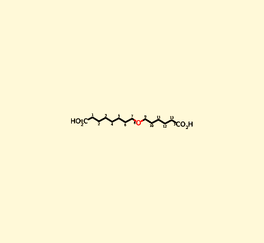 O=C(O)CCCCCCCOCCCCCC(=O)O